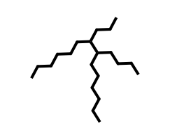 CCCCCC[C](CCC)C(CCCC)CCCCCC